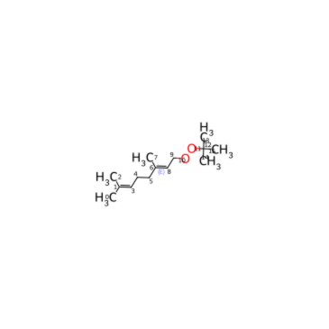 CC(C)=CCC/C(C)=C/COOC(C)(C)C